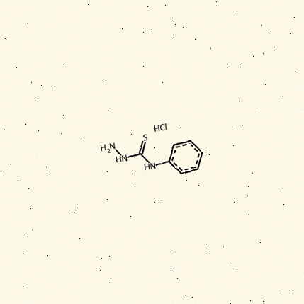 Cl.NNC(=S)Nc1ccccc1